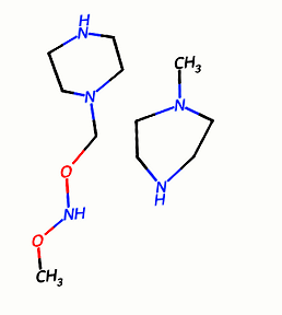 CN1CCNCC1.CONOCN1CCNCC1